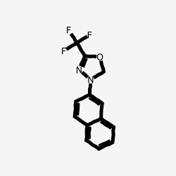 FC(F)(F)C1=NN(c2ccc3ccccc3c2)CO1